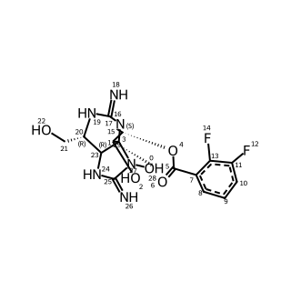 C[C@]1(O)[C@@H](OC(=O)c2cccc(F)c2F)CN2C(=N)N[C@@H](CO)C3NC(=N)N(O)C321